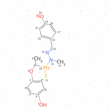 CC(Oc1ccc(O)cc1)[PH](=S)N(C)N=Cc1ccc(O)cc1